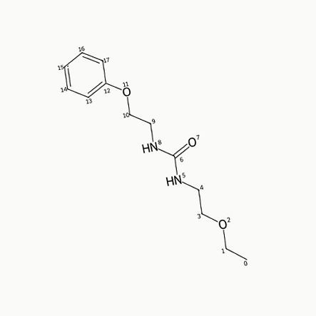 CCOCCNC(=O)NCCOc1cc[c]cc1